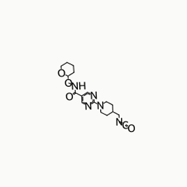 O=C=NCC1CCN(c2ncc(C(=O)NOC3CCCCO3)cn2)CC1